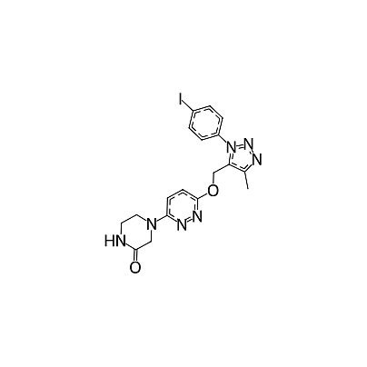 Cc1nnn(-c2ccc(I)cc2)c1COc1ccc(N2CCNC(=O)C2)nn1